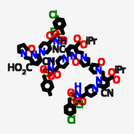 CC(C)OC(=O)c1cc(C#N)c(N2CCC(C(=O)NS(=O)(=O)Cc3ccc(Cl)cc3Cl)CC2)nc1CN1CCCC1=O.CC1CCC(CS(=O)(=O)NC(=O)C2CCN(c3nc(CN4CCCC4=O)c(C(=O)OC(C)C)cc3C#N)CC2)CC1.N#Cc1cc(C(=O)O)c(CN2CCCC2=O)nc1N1CCC(C(=O)NS(=O)(=O)Cc2ccc(Cl)cc2F)CC1